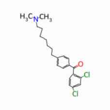 CN(C)CCCCCCCc1ccc(C(=O)c2ccc(Cl)cc2Cl)cc1